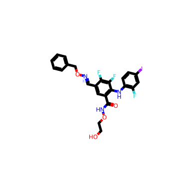 O=C(NOCCO)c1cc(/C=N/OCc2ccccc2)c(F)c(F)c1Nc1ccc(I)cc1F